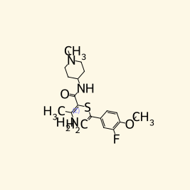 C=C(S/C(C(=O)NC1CCN(C)CC1)=C(/C)N)c1ccc(OC)c(F)c1